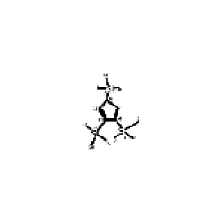 C[Si](C)(C)C1=[C]C([Si](C)(C)C)C=C1[Si](C)(C)C